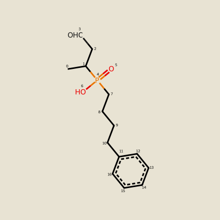 CC(CC=O)P(=O)(O)CCCCc1ccccc1